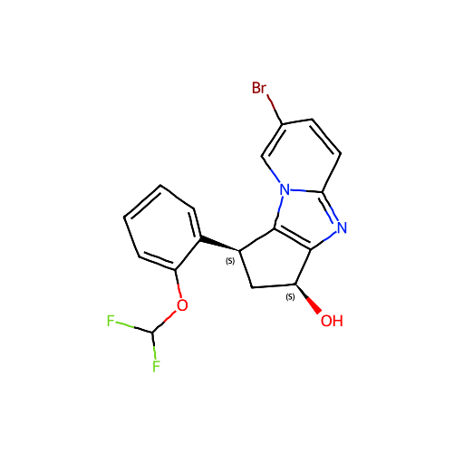 O[C@H]1C[C@@H](c2ccccc2OC(F)F)c2c1nc1ccc(Br)cn21